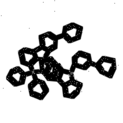 c1ccc(-c2cccc(-n3c4ccccc4c4ccc(-n5c6cc(-c7ccccc7)ccc6c6cccc([Si](c7ccccc7)(c7ccccc7)c7ccccc7)c65)cc43)c2)cc1